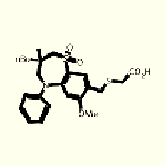 CCCC[C@]1(C)CN(c2ccccc2)c2cc(OC)c(CSCC(=O)O)cc2S(=O)(=O)C1